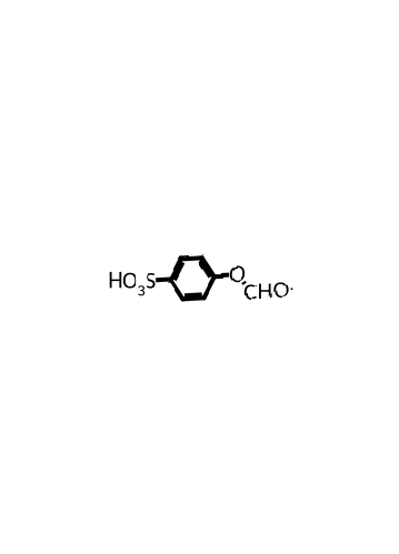 O=[C]Oc1ccc(S(=O)(=O)O)cc1